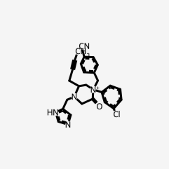 CC#CCC1C[N+](Cc2ccc(C#N)cc2)(c2cccc(Cl)c2)C(=O)CN1Cc1cnc[nH]1